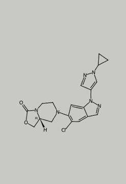 O=C1OC[C@H]2CN(c3cc4c(cnn4-c4cnn(C5CC5)c4)cc3Cl)CCN12